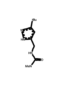 CNC(=O)NCc1cc(C(C)(C)C)n[nH]1